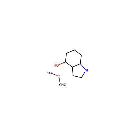 CC(C)(C)OC=O.OC1CCCC2NCCC12